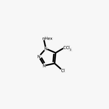 CCCCCCn1nnc(Cl)c1C(Cl)(Cl)Cl